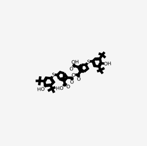 CC(C)(C)c1cc(SC2CC3CC2C(C(=O)O)C3C(=O)OC(=O)C2C3CC(Sc4cc(C(C)(C)C)c(O)c(C(C)(C)C)c4)C(C3)C2C(=O)O)cc(C(C)(C)C)c1O